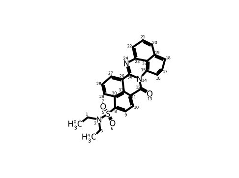 CCN(CC)S(=O)(=O)c1ccc2c(=O)n3c4cccc5cccc(nc3c3cccc1c23)c54